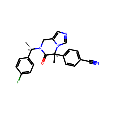 C[C@@H](c1ccc(F)cc1)N1Cc2cncn2[C@](C)(c2ccc(C#N)cc2)C1=O